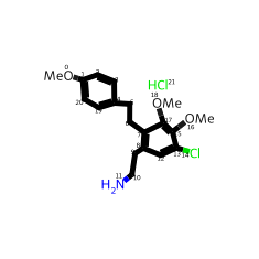 COc1ccc(CCc2c(CCN)cc(Cl)c(OC)c2OC)cc1.Cl